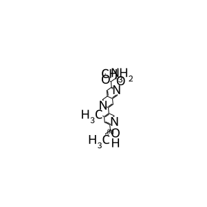 CC[C@@H](O)c1cc(C)c(-c2cc3cnc(C(OC)C(N)=O)cc3cn2)cn1